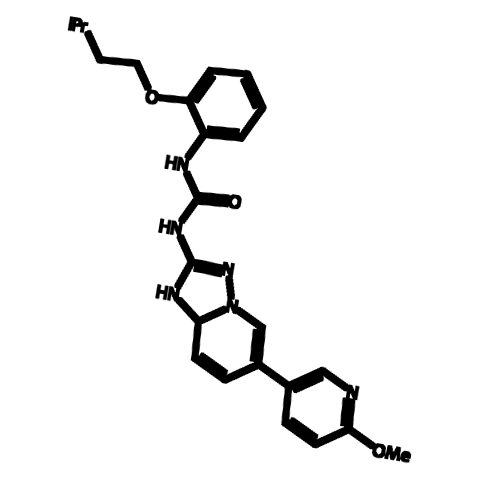 COc1ccc(C2=CN3N=C(NC(=O)Nc4ccccc4OCCC(C)C)NC3C=C2)cn1